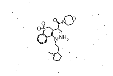 CN1CCCC1CCN(N)C1=C(C(I)C(=O)N2CCOCC2)CS(=O)(=O)c2ccccc21